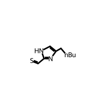 CCCCCc1c[nH]c(C=S)n1